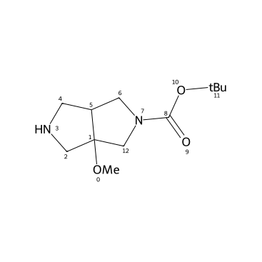 COC12CNCC1CN(C(=O)OC(C)(C)C)C2